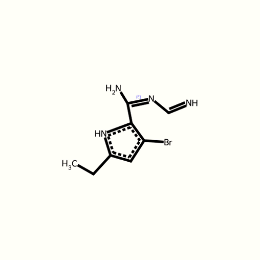 CCc1cc(Br)c(/C(N)=N\C=N)[nH]1